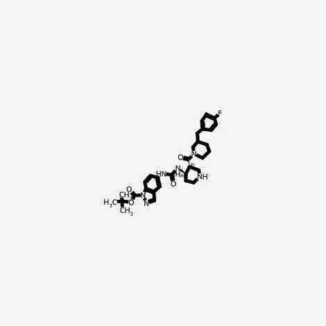 CC(C)(C)OC(=O)n1ncc2cc(NC(=O)N[C@@H]3CCNC[C@H]3C(=O)N3CCCC(Cc4ccc(F)cc4)C3)ccc21